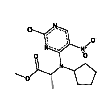 COC(=O)[C@@H](C)N(c1nc(Cl)ncc1[N+](=O)[O-])C1CCCC1